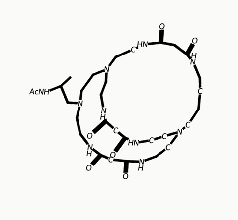 CC(=O)NC(C)CN1CCNC(=O)CC(=O)NCCN2CCCCNC(=O)CC(=O)NCCN(CCNC(=O)CC(=O)NCC2)CC1